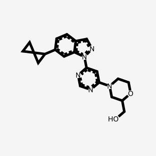 OCC1CN(c2cc(-n3ncc4ccc(C5CC56CC6)cc43)ncn2)CCO1